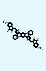 O=C1C(=O)c2cc(C(F)(F)F)ccc2/C1=C/c1cc2c(s1)-c1cc3c(cc1OC21CCCCC1)-c1sc(/C=C2\C(=O)C(=O)c4cc(C(F)(F)F)ccc42)cc1C1(CCCCC1)O3